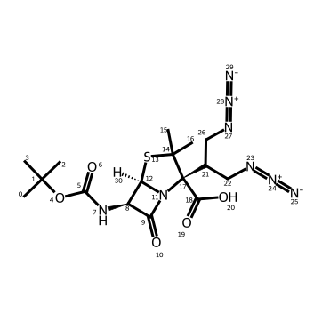 CC(C)(C)OC(=O)N[C@@H]1C(=O)N2[C@@H]1SC(C)(C)[C@@]2(C(=O)O)C(CN=[N+]=[N-])CN=[N+]=[N-]